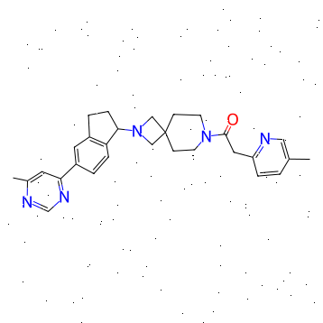 Cc1ccc(CC(=O)N2CCC3(CC2)CN(C2CCc4cc(-c5cc(C)ncn5)ccc42)C3)nc1